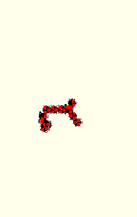 c1ccc(-c2ccc(-c3nc(-c4ccccc4)nc(-c4ccc(-c5ccc(-c6cccc(-c7cc8c(cn7)oc7c9ccccc9ncc87)c6)cc5)cc4)n3)cc2)cc1